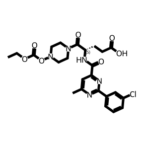 CCOC(=O)ON1CCN(C(=O)[C@H](CCC(=O)O)NC(=O)c2cc(C)nc(-c3cccc(Cl)c3)n2)CC1